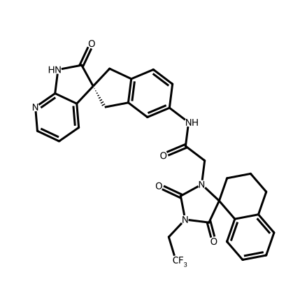 O=C(CN1C(=O)N(CC(F)(F)F)C(=O)C12CCCc1ccccc12)Nc1ccc2c(c1)C[C@@]1(C2)C(=O)Nc2ncccc21